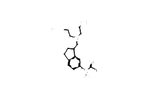 CCCN(CCC)CC1CCc2ccc(N(C)C(C)=O)cc21